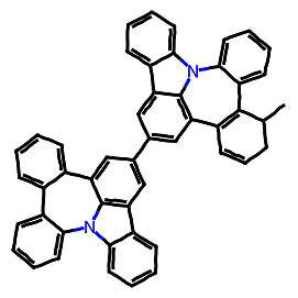 CC1CC=CC2=C1c1ccccc1-n1c3ccccc3c3cc(-c4cc5c6c(c4)c4ccccc4n6-c4ccccc4-c4ccccc4-5)cc2c31